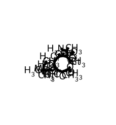 CC[C@H]1OC(=O)C(C)(C)C(=O)[C@H](C)[C@@H](OC2OC(C)CC(N(C)C)[C@H]2O)[C@](C)(OC)C[C@@H](C)C(=O)C(C)C2N(C(C)CN)C(=O)O[C@@]21C